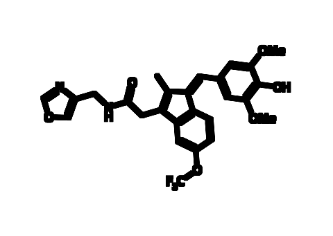 COc1cc(/C=C2/C(C)=C(CC(=O)NCc3cocn3)c3cc(OC(F)(F)F)ccc32)cc(OC)c1O